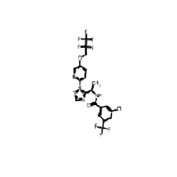 CC(NC(=O)C1=CC(C(F)(F)F)CC(Cl)=C1)c1ncnn1-c1ccc(OCC(F)(F)C(F)(F)F)cn1